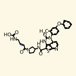 Cc1cc(Oc2ccccc2)ccc1N1C(=O)Nc2c(C(=O)NC3CCN(C(=O)/C=C/CNC(=O)O)C3)sc3nccc1c23